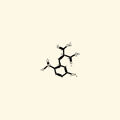 Cc1ccc([N+](=O)[O-])c(C=C(C(=O)O)C(=O)O)c1